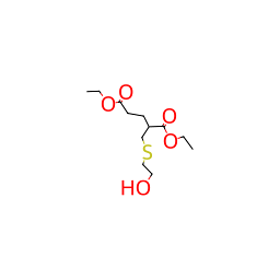 CCOC(=O)CCC(CSCCO)C(=O)OCC